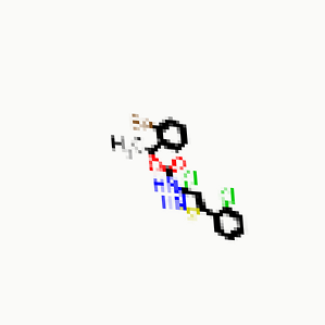 C[C@@H](OC(=O)NC1(Cl)C=C(c2ccccc2Cl)SN1)c1ccccc1Br